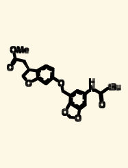 COC(=O)C[C@@H]1COc2cc(OCc3cc(NC(=O)C(C)(C)C)cc4c3OCO4)ccc21